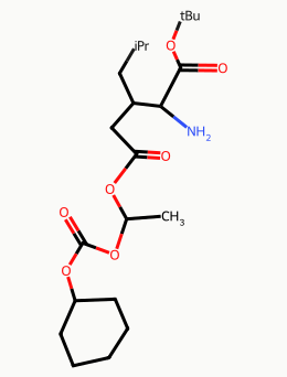 CC(C)CC(CC(=O)OC(C)OC(=O)OC1CCCCC1)C(N)C(=O)OC(C)(C)C